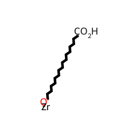 O=C(O)CCCCCCCCCCCCCCCCC[O][Zr]